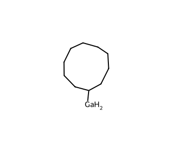 [GaH2][CH]1CCCCCCCCC1